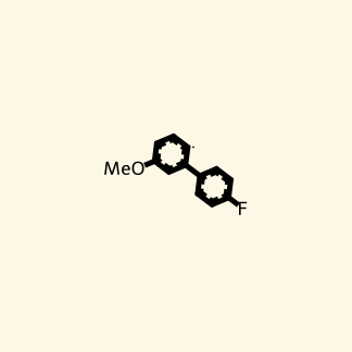 COc1cc[c]c(-c2ccc(F)cc2)c1